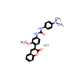 COc1cc(NC(=O)Nc2ccc(N(C)C)cc2)ccc1-c1cc2ccccc2oc1=O.Cl